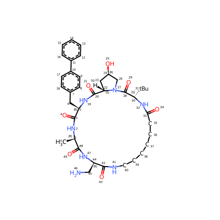 C[C@H]1NC(=O)[C@@H](Cc2ccc(-c3ccccc3)cc2)NC(=O)[C@@H]2C[C@@H](O)CN2C(=O)[C@H](C(C)(C)C)NC(=O)CCCCCCNC(=O)[C@@H](CN)NC1=O